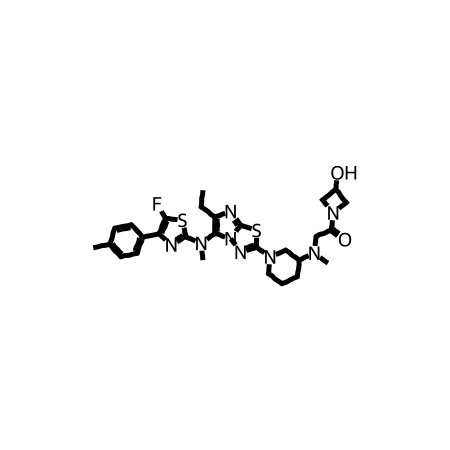 CCc1nc2sc(N3CCCC(N(C)CC(=O)N4CC(O)C4)C3)nn2c1N(C)c1nc(-c2ccc(C)cc2)c(F)s1